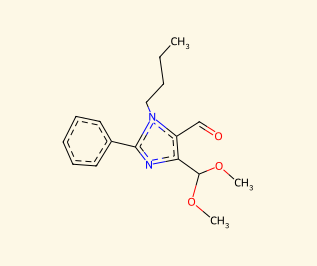 CCCCn1c(-c2ccccc2)nc(C(OC)OC)c1C=O